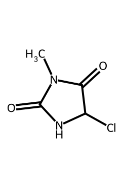 CN1C(=O)NC(Cl)C1=O